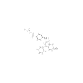 CCOC(=O)c1ccc(NC(Cc2cccc(Br)c2)OCc2ccccc2)cc1